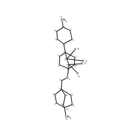 CC1CCC(C23CCC(OCC45CCC(C)(CC4)CC5)(CC2)C(F)(F)C3(F)F)CC1